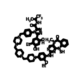 CCOc1cc(N2CCC(CN3CCC(CN4CCN(Cc5ccc(-n6c(C(=O)NC(C)C(F)(F)F)nnc6-c6cc(CC)c(O)cc6O)cc5)CC4)CC3)CC2)ccc1Nc1ncc2c(n1)N(S)c1ccccc1C(=O)N2C